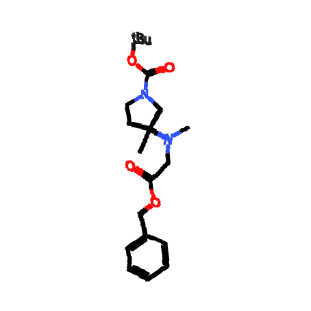 CN(CC(=O)OCc1ccccc1)C1(C)CCN(C(=O)OC(C)(C)C)C1